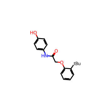 CC(C)(C)c1ccccc1OCC(=O)Nc1ccc(O)cc1